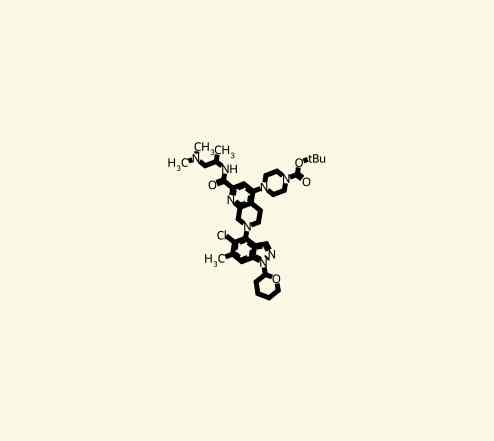 Cc1cc2c(cnn2C2CCCCO2)c(N2CCc3c(N4CCN(C(=O)OC(C)(C)C)CC4)cc(C(=O)NC(C)CN(C)C)nc3C2)c1Cl